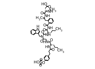 CCCC[C@H](NC(=O)CCc1ccc(OS(=O)(=O)O)cc1)C(=O)NCC(=O)N(Cc1c[nH]c2ccccc12)C(=O)N[C@@H](CCCC)C(=O)NC(=O)c1ccccc1C[C@@H](C)NC(=O)[C@H](CC(=O)O)NC